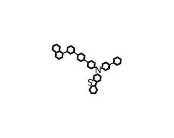 c1ccc(-c2ccc(N(c3ccc(-c4ccc(-c5cccc(-c6cccc7ccccc67)c5)cc4)cc3)c3ccc4c(c3)sc3ccccc34)cc2)cc1